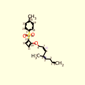 C=CC/C=C(C)\C=C/COC1=CC=C1S(=O)(=O)c1ccc(C)cc1